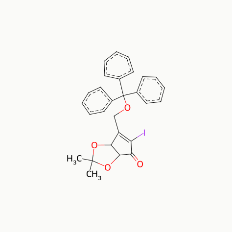 CC1(C)OC2C(=O)C(I)=C(COC(c3ccccc3)(c3ccccc3)c3ccccc3)C2O1